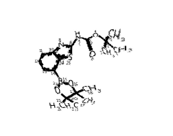 CC(C)(C)OC(=O)Nc1nc2cccc(B3OC(C)(C)C(C)(C)O3)c2s1